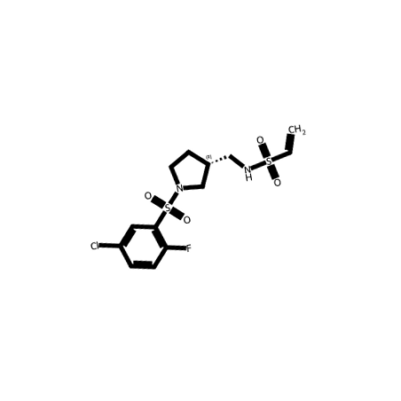 C=CS(=O)(=O)NC[C@H]1CCN(S(=O)(=O)c2cc(Cl)ccc2F)C1